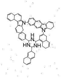 C1=CC2C=Cc3c(c4c(n3-c3ccc5cc6c7c(n(C8=CC(C9NC(C%10=CCCC=C%10)NC(C%10C=C%11CCC=CC%11=CC%10)N9)=C9CCC=CC9C8)c6cc5c3)CCC=C7)CCC=C4)C2C=C1